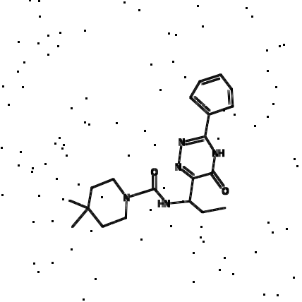 CCC(NC(=O)N1CCC(C)(C)CC1)c1nnc(-c2ccccc2)[nH]c1=O